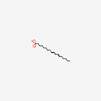 CCCCCC=CCC=CCCCCCCCC(=O)OC